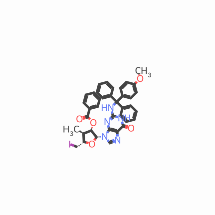 COc1ccc(C(Nc2nc3c(ncn3[C@@H]3O[C@H](CI)[C@@H](C)[C@@H]3OC(=O)c3ccccc3)c(=O)[nH]2)(c2ccccc2)c2ccccc2)cc1